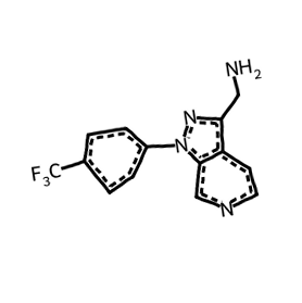 NCc1nn(-c2ccc(C(F)(F)F)cc2)c2cnccc12